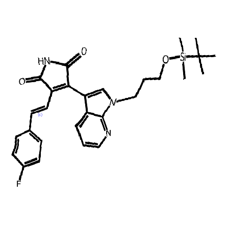 CC(C)(C)[Si](C)(C)OCCCn1cc(C2=C(/C=C/c3ccc(F)cc3)C(=O)NC2=O)c2cccnc21